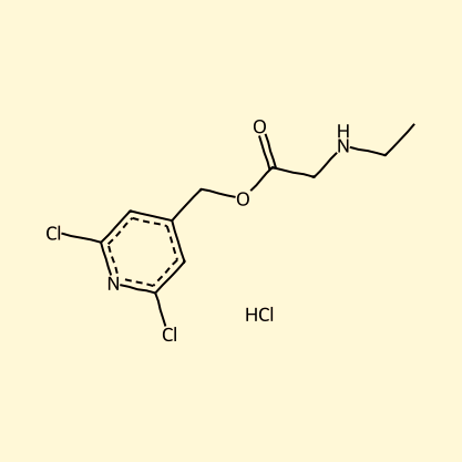 CCNCC(=O)OCc1cc(Cl)nc(Cl)c1.Cl